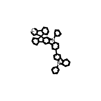 c1ccc(-n2c3ccccc3c3cc(-c4ccc5c(c4)c4cc6c(cc4n5-c4ccccc4)C4(c5ccccc5-c5ccccc54)c4ccccc4-6)ccc32)cc1